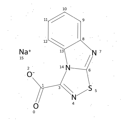 O=C([O-])c1nsc2nc3ccccc3n12.[Na+]